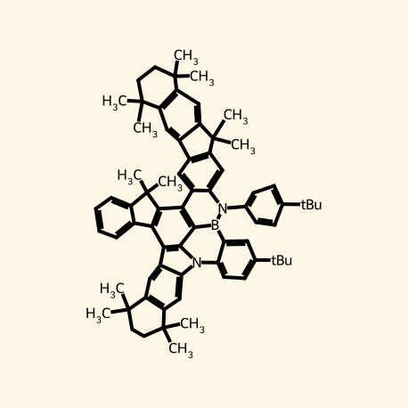 CC(C)(C)c1ccc(N2B3c4cc(C(C)(C)C)ccc4-n4c5cc6c(cc5c5c7c(c(c3c54)-c3cc4c(cc32)C(C)(C)c2cc3c(cc2-4)C(C)(C)CCC3(C)C)C(C)(C)c2ccccc2-7)C(C)(C)CCC6(C)C)cc1